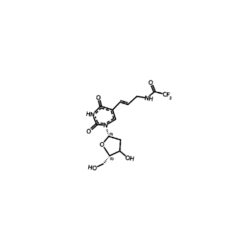 O=C(NCC=Cc1cn([C@@H]2CC(O)[C@H](CO)O2)c(=O)[nH]c1=O)C(F)(F)F